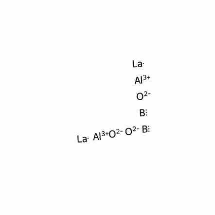 [Al+3].[Al+3].[B].[B].[La].[La].[O-2].[O-2].[O-2]